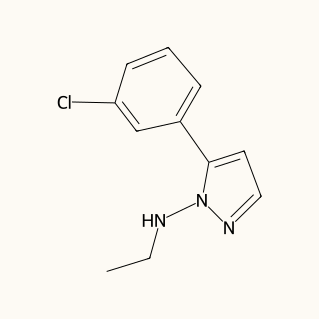 CCNn1nccc1-c1cccc(Cl)c1